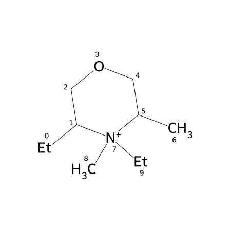 CCC1COCC(C)[N+]1(C)CC